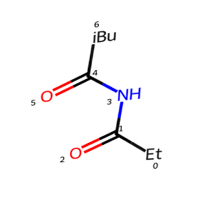 CCC(=O)NC(=O)C(C)CC